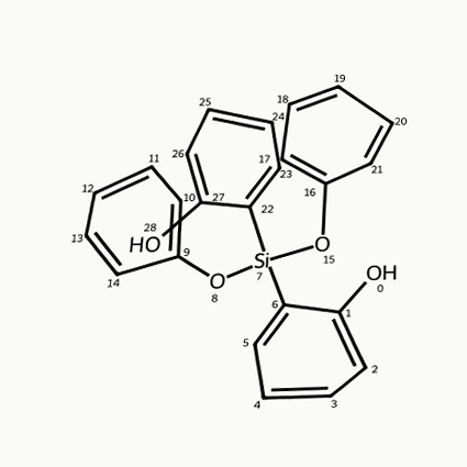 Oc1ccccc1[Si](Oc1ccccc1)(Oc1ccccc1)c1ccccc1O